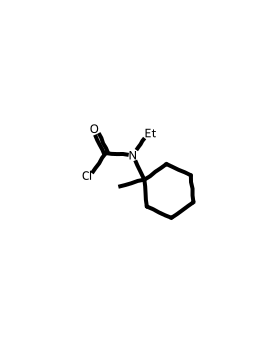 CCN(C(=O)Cl)C1(C)CCCCC1